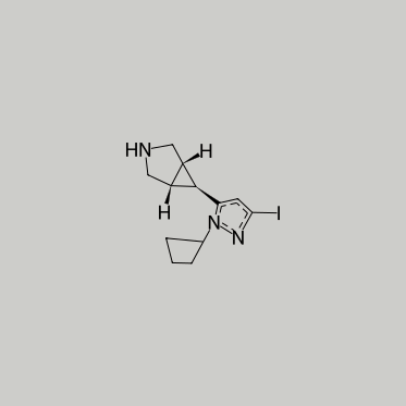 Ic1cc([C@H]2[C@@H]3CNC[C@@H]32)n(C2CCC2)n1